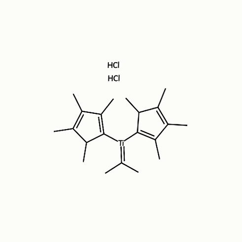 CC1=C(C)C(C)[C]([Ti]([C]2=C(C)C(C)=C(C)C2C)=[C](C)C)=C1C.Cl.Cl